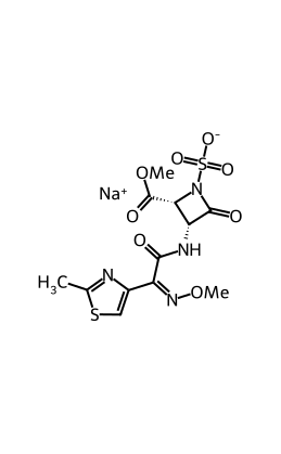 CO/N=C(\C(=O)N[C@H]1C(=O)N(S(=O)(=O)[O-])[C@H]1C(=O)OC)c1csc(C)n1.[Na+]